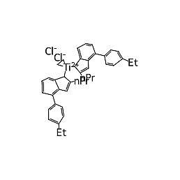 CCCC1=Cc2c(-c3ccc(CC)cc3)cccc2[CH]1[Ti+2]1([CH]2C(CCC)=Cc3c(-c4ccc(CC)cc4)cccc32)[CH2][CH2]1.[Cl-].[Cl-]